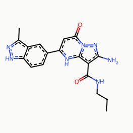 CCCNC(=O)c1c(N)nn2c(=O)cc(-c3ccc4[nH]nc(C)c4c3)[nH]c12